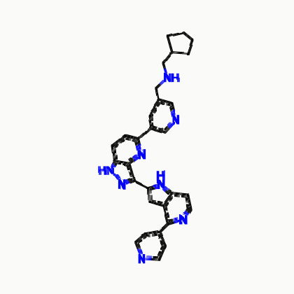 c1cc(-c2nccc3[nH]c(-c4n[nH]c5ccc(-c6cncc(CNCC7CCCC7)c6)nc45)cc23)ccn1